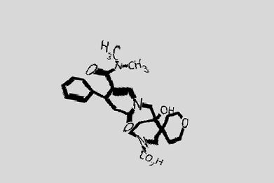 CN(C)C(=O)c1cn(CC2(O)CCN(C(=O)O)CC23CCOCC3)c(=O)cc1-c1ccccc1